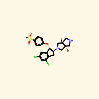 CS(=O)(=O)c1ccc(O[C@H]2c3cc(Cl)cc(Cl)c3C[C@@H]2N2C[C@@H]3CNC[C@H]3C2)cc1